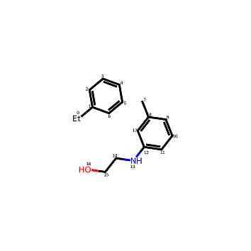 CCc1ccccc1.Cc1cccc(NCCO)c1